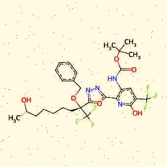 C[C@H](O)CCCCC[C@@](OCc1ccccc1)(c1nnc(-c2nc(O)c(C(F)(F)F)cc2NC(=O)OC(C)(C)C)o1)C(F)(F)F